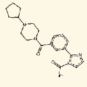 CC(C)C(=O)n1ccnc1-c1cccc(C(=O)N2CCN(C3CCCC3)CC2)c1